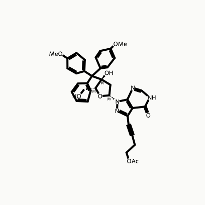 COc1ccc(C(c2ccccc2)(c2ccc(OC)cc2)[C@]2(O)C[C@H](n3nc(C#CCCOC(C)=O)c4c(=O)[nH]cnc43)O[C@@H]2CO)cc1